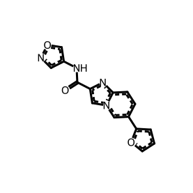 O=C(Nc1cnoc1)c1cn2cc(-c3ccco3)ccc2n1